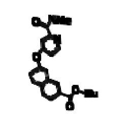 CCC(C)OC(=O)c1ccc2ccc(Oc3ccnc(C(=O)NC)c3)cc2c1